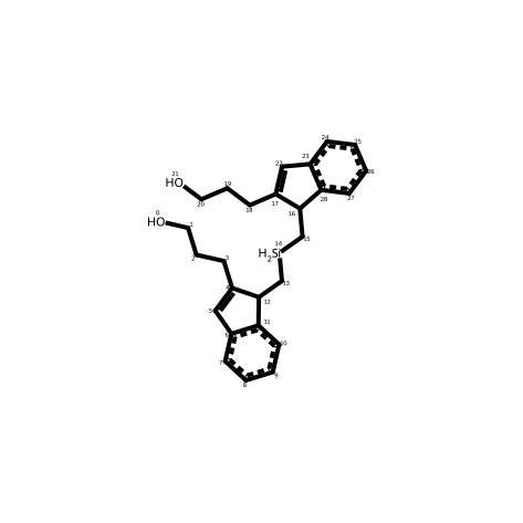 OCCCC1=Cc2ccccc2C1C[SiH2]CC1C(CCCO)=Cc2ccccc21